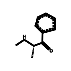 CN[C@@H](C)C(=O)c1[c]cccc1